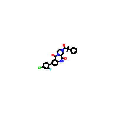 CC(C)(C(=O)N1CCN2C(=O)c3cc(-c4ccc(Cl)cc4F)ccc3NC(=O)C2C1)c1ccccc1